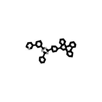 c1ccc(-c2nc(-c3ccc(-c4cc5c6ccccc6c6ccccc6c5c5ccccc45)cc3)nc(-c3cccc(-c4cccnc4)c3)n2)cc1